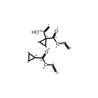 C=COC(=O)C1(C=C)CC1.C=COC(=O)C1CC1.Cl